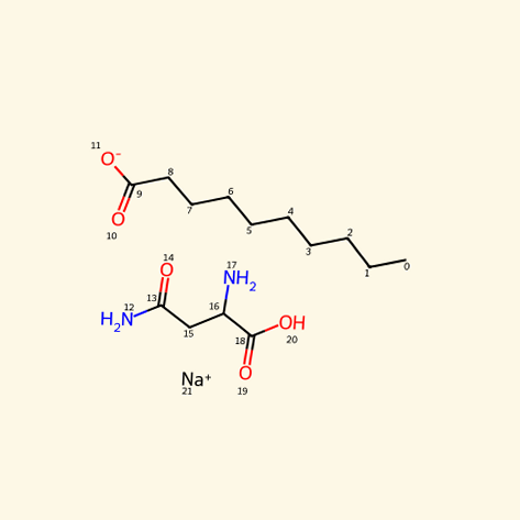 CCCCCCCCCC(=O)[O-].NC(=O)CC(N)C(=O)O.[Na+]